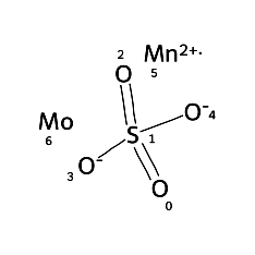 O=S(=O)([O-])[O-].[Mn+2].[Mo]